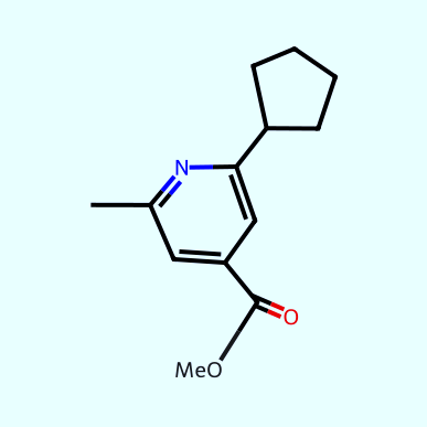 COC(=O)c1cc(C)nc(C2CCCC2)c1